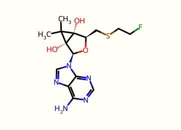 CC1(C)[C@]2(O)[C@H](n3cnc4c(N)ncnc43)O[C@H](CSCCF)[C@]12O